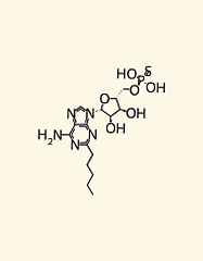 CCCCCc1nc(N)c2ncn([C@@H]3O[C@H](COP(O)(O)=S)[C@@H](O)[C@H]3O)c2n1